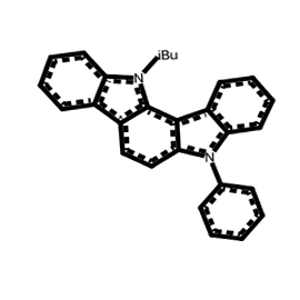 CCC(C)n1c2ccccc2c2ccc3c(c4ccccc4n3-c3ccccc3)c21